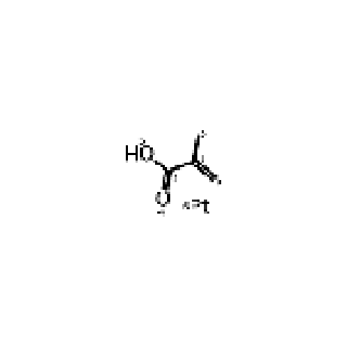 C=C(C)C(=O)O.[Pt]